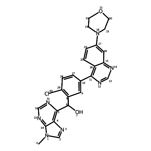 Cn1cnc2c(C(O)c3cc(-c4ncnc5cc(N6CCOCC6)ccc45)ccc3Cl)ncnc21